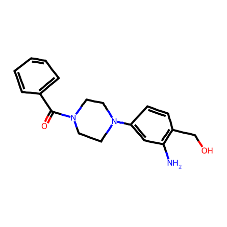 Nc1cc(N2CCN(C(=O)c3ccccc3)CC2)ccc1CO